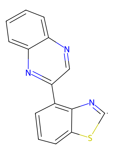 [c]1nc2c(-c3cnc4ccccc4n3)cccc2s1